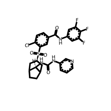 O=C(Nc1cccnc1)N[C@H]1C2CCC1C[C@@H](S(=O)(=O)c1cc(C(=O)Nc3cc(F)c(F)c(F)c3)ccc1Cl)C2